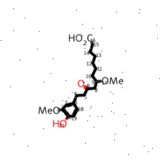 COc1cc(CCC(=O)CC(CCCCCCC(=O)O)OC)ccc1O